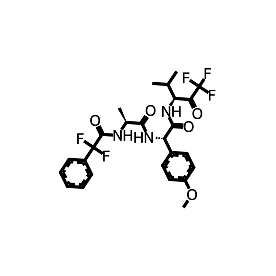 COc1ccc([C@H](NC(=O)[C@H](C)NC(=O)C(F)(F)c2ccccc2)C(=O)N[C@H](C(=O)C(F)(F)F)C(C)C)cc1